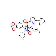 CC1(C(=O)NC2CCCC2)Cn2c(ccc2-c2ccccc2)C(=O)N1Cc1ccc2c(c1)OCO2